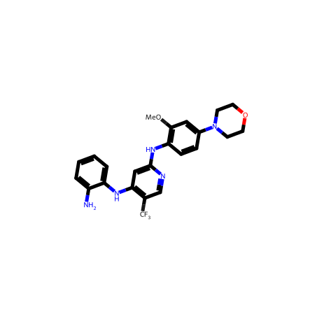 COc1cc(N2CCOCC2)ccc1Nc1cc(Nc2ccccc2N)c(C(F)(F)F)cn1